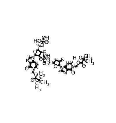 CC(C)(C)C(=O)OCn1cnc2c(ncn2[C@@H]2O[C@H](COP(=O)(O)O)[C@H](F)C2OP(=O)(O)OC[C@@H]2C[C@@H](F)[C@H](n3cnc4c(=O)n(COC(=O)C(C)(C)C)cnc43)O2)c1=O